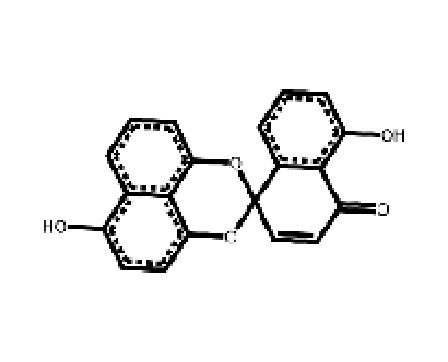 O=C1C=CC2(Oc3cccc4c(O)ccc(c34)O2)c2cccc(O)c21